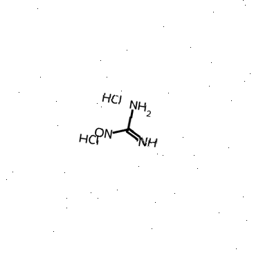 Cl.Cl.N=C(N)N=O